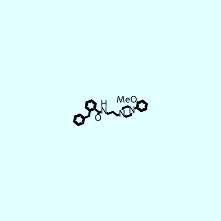 COc1ccccc1N1CCN(CCCNC(=O)c2ccccc2Cc2ccccc2)CC1